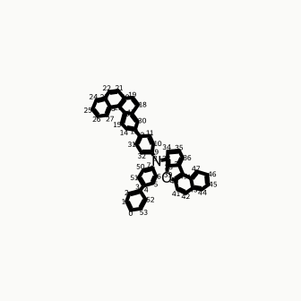 c1ccc(-c2ccc(N(c3ccc(-c4ccc5c(ccc6ccc7ccccc7c65)c4)cc3)c3cccc4c3oc3ccc5ccccc5c34)cc2)cc1